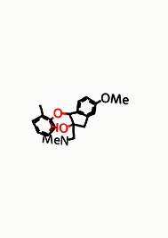 CNCC1(O)Cc2cc(OC)ccc2C1Oc1ccccc1C